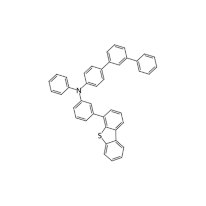 c1ccc(-c2cccc(-c3ccc(N(c4ccccc4)c4cccc(-c5cccc6c5sc5ccccc56)c4)cc3)c2)cc1